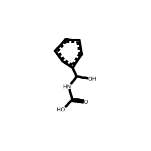 O=C(O)N[C](O)c1ccccc1